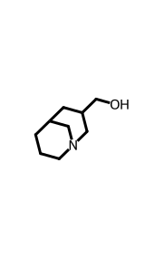 OCC1CC2CCCN(C1)C2